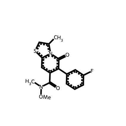 CON(C)C(=O)c1cc2scc(C)n2c(=O)c1-c1cccc(F)c1